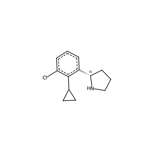 Clc1cccc([C@@H]2CCCN2)c1C1CC1